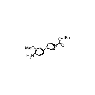 COc1cc(N2CC3CC2CN3C(=O)OC(C)(C)C)ccc1N